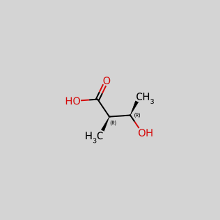 C[C@@H](O)[C@@H](C)C(=O)O